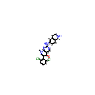 Cn1cc(-c2c(Cl)cccc2Cl)c(=O)c2cnc(Nc3ccc4c(c3)CCNC4)nc21